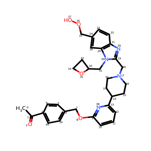 CC(=O)c1ccc(COc2cccc(C3CCN(Cc4nc5ccc(COO)cc5n4CC4CCO4)CC3)n2)cc1